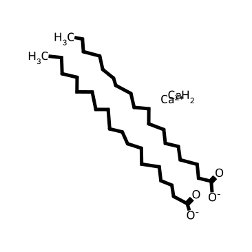 CCCCCCCCCCCCCCCCCC(=O)[O-].CCCCCCCCCCCCCCCCCC(=O)[O-].[Ca+2].[CaH2]